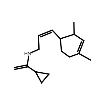 C=C(NC/C=C\C1CCC(C)=CC1C)C1CC1